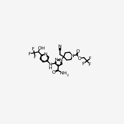 N#CCC1(n2cc(C(N)=O)c(Nc3ccc(C(O)C(F)(F)F)nc3)n2)CCN(C(=O)OCC(F)(F)F)CC1